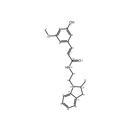 COc1cc(O)cc(/C=C/C(=O)NCCN2c3ccccc3CC2C)c1